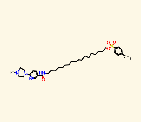 Cc1ccc(S(=O)(=O)OCCCCCCCCCCCCCCCCCCNC(=O)c2ccc(N3CCN(C(C)C)CC3)nc2)cc1